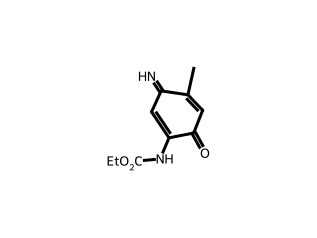 CCOC(=O)NC1=CC(=N)C(C)=CC1=O